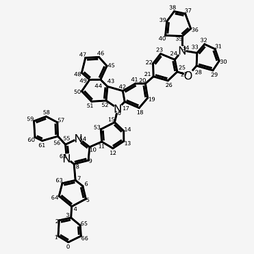 c1ccc(-c2ccc(-c3cc(-c4cccc(-n5c6ccc(-c7ccc8c(c7)Oc7ccccc7N8c7ccccc7)cc6c6c7ccccc7ccc65)c4)nc(-c4ccccc4)n3)cc2)cc1